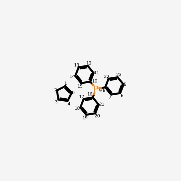 C1=CCC=C1.c1ccc(P(c2ccccc2)c2ccccc2)cc1